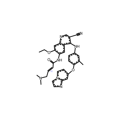 CCOc1cc2ncc(C#N)c(Nc3ccc(Oc4ccn5ccnc5c4)c(C)c3)c2cc1NC(=O)/C=C/CN(C)C